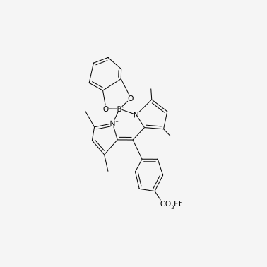 CCOC(=O)c1ccc(C2=C3C(C)=CC(C)=[N+]3[B-]3(Oc4ccccc4O3)n3c(C)cc(C)c32)cc1